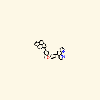 C1=C[C@H]2Oc3ccc(-c4cc5cccnc5c5ncccc45)cc3C2C=C1c1ccc2ccc3cccc4ccc1c2c34